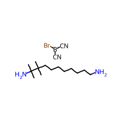 CC(C)(N)C(C)(C)CCCCCCCCN.N#CB(Br)C#N